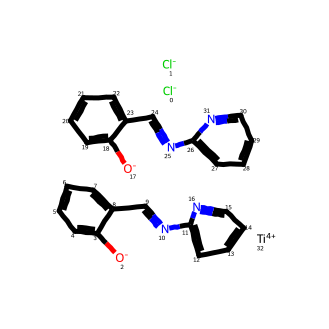 [Cl-].[Cl-].[O-]c1ccccc1C=Nc1ccccn1.[O-]c1ccccc1C=Nc1ccccn1.[Ti+4]